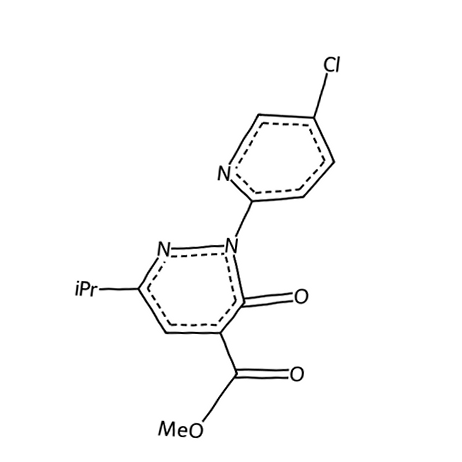 COC(=O)c1cc(C(C)C)nn(-c2ccc(Cl)cn2)c1=O